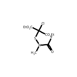 CCOC(=O)C(Cl)(SN(C)C(=O)F)C(=O)OCC